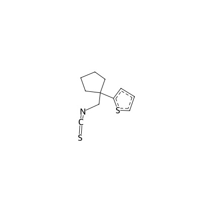 S=C=NCC1(c2cccs2)CCCC1